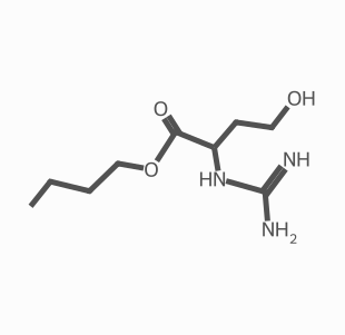 CCCCOC(=O)C(CCO)NC(=N)N